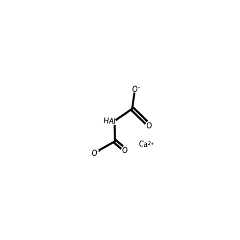 O=[C]([O-])[AlH][C](=O)[O-].[Ca+2]